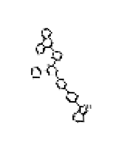 c1ccc(-c2cc(-c3ccc(-c4ccc(-c5[nH]cc6ccccc56)cc4)cc3)nc(-c3cccc(-c4cc5ccccc5c5ccccc45)c3)n2)cc1